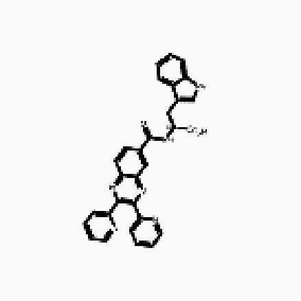 O=C(N[C@@H](Cc1c[nH]c2ccccc12)C(=O)O)c1ccc2nc(-c3ccccn3)c(-c3ccccn3)nc2c1